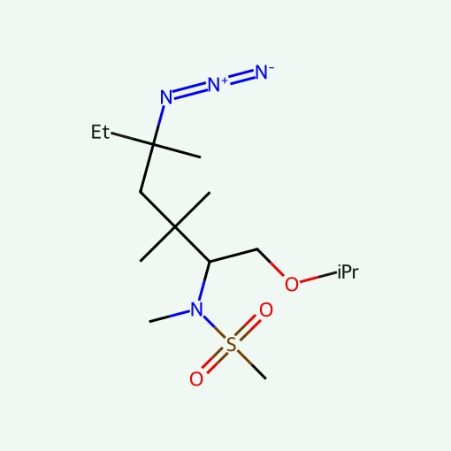 CCC(C)(CC(C)(C)C(COC(C)C)N(C)S(C)(=O)=O)N=[N+]=[N-]